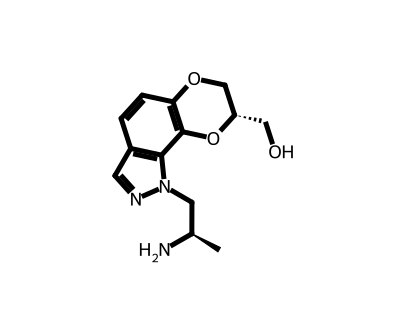 C[C@@H](N)Cn1ncc2ccc3c(c21)O[C@@H](CO)CO3